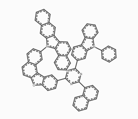 c1ccc(-n2c3ccccc3c3ccc(-c4nc(-c5ccc6oc7ccc8ccc(-n9c%10cc%11ccccc%11cc%10c%10ccc%11ccccc%11c%109)cc8c7c6c5)nc(-c5cccc6ccccc56)n4)cc32)cc1